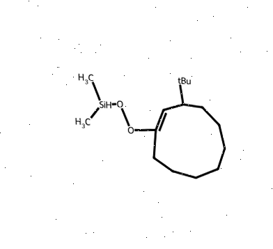 C[SiH](C)OOC1=CC(C(C)(C)C)CCCCCCC1